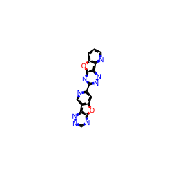 c1cnc2c(c1)oc1nc(-c3cc4oc5ncnnc5c4cn3)nnc12